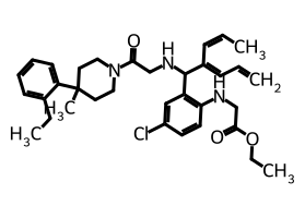 C=C/C=C(\C=C/C)C(NCC(=O)N1CCC(C)(c2ccccc2CC)CC1)c1cc(Cl)ccc1NCC(=O)OCC